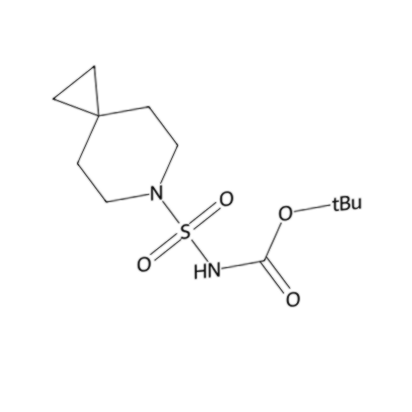 CC(C)(C)OC(=O)NS(=O)(=O)N1CCC2(CC1)CC2